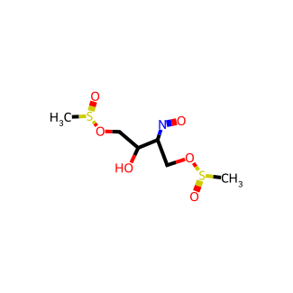 CS(=O)OCC(O)C(COS(C)=O)N=O